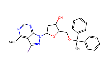 COc1ncnc2c1c(I)nn2C1CC(O)C(CO[Si](c2ccccc2)(c2ccccc2)C(C)(C)C)O1